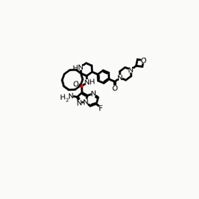 Nc1nn2cc(F)cnc2c1C(=O)NC1C(c2ccc(C(=O)N3CCN(C4COC4)CC3)cc2)CCNC12CCCCCCCCC2